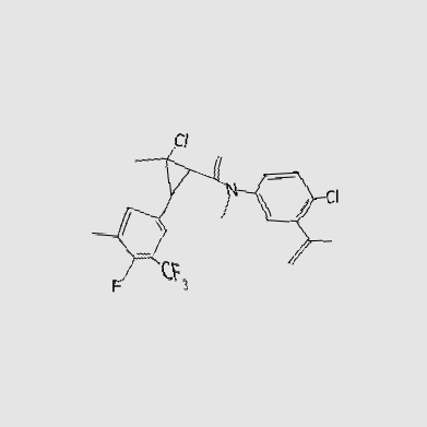 C=C(C)c1cc(N(C)C(=C)C2C(c3cc(C)c(F)c(C(F)(F)F)c3)C2(C)Cl)ccc1Cl